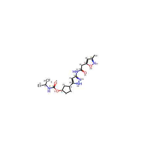 CCC(NC(=O)O[C@@H]1CC[C@H](c2cc(NC(=O)Cc3cc(C)no3)n[nH]2)C1)C(F)(F)F